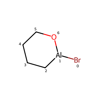 [Br][Al]1[CH2]CCC[O]1